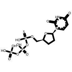 O=c1ccn([C@H]2CC[C@@H](COP(O)(=S)OP(=O)(O)OP(=O)(O)O)O2)c(=O)[nH]1